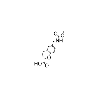 COC(=O)NCc1ccc2c(c1)CC[C@@H](C(=O)O)O2